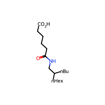 CCCCCCC(CCCC)CNC(=O)CCCCC(=O)O